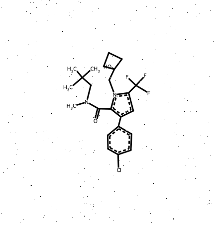 CN(CC(C)(C)C)C(=O)c1c(-c2ccc(Cl)cc2)cc(C(F)(F)F)n1CC1(O)CCC1